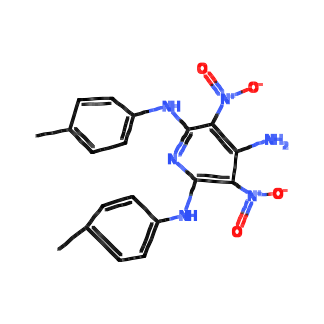 Cc1ccc(Nc2nc(Nc3ccc(C)cc3)c([N+](=O)[O-])c(N)c2[N+](=O)[O-])cc1